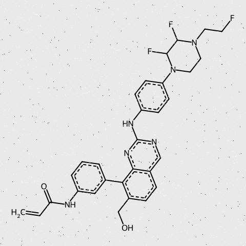 C=CC(=O)Nc1cccc(-c2c(CO)ccc3cnc(Nc4ccc(N5CCN(CCF)C(F)C5F)cc4)nc23)c1